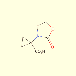 O=C1OCCN1C1(C(=O)O)CC1